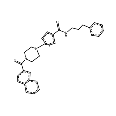 O=C(NCCCc1ccccc1)c1ccc(N2CCN(C(=O)c3ccc4ccccc4c3)CC2)nc1